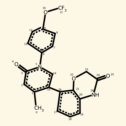 Cc1cc(=O)n(-c2ccc(OC(F)(F)F)cc2)cc1-c1cccc2c1OCC(=O)N2